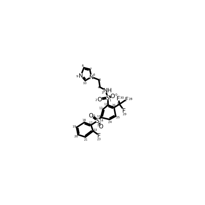 O=S(=O)(NCCn1ccnc1)c1cc(S(=O)(=O)c2ccccc2F)ccc1C(F)(F)F